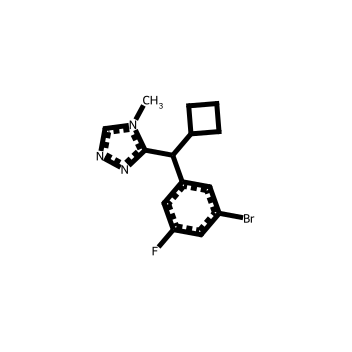 Cn1cnnc1C(c1cc(F)cc(Br)c1)C1CCC1